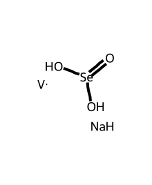 O=[Se](O)O.[NaH].[V]